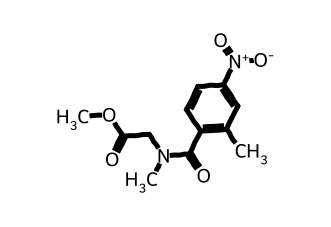 COC(=O)CN(C)C(=O)c1ccc([N+](=O)[O-])cc1C